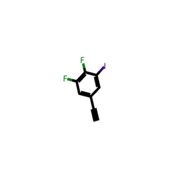 C#Cc1cc(F)c(F)c(I)c1